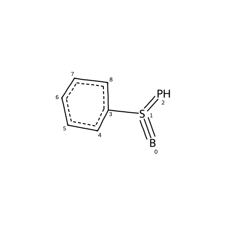 B#S(=P)c1ccccc1